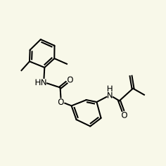 C=C(C)C(=O)Nc1cccc(OC(=O)Nc2c(C)cccc2C)c1